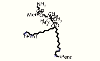 CCCCC/C=C\C/C=C\CCCCCCCCC1(CCCCCCCC/C=C\C/C=C\CCCCC)OC[C@H](C(C)(C)C(C)(C)N(C)CCOP(=O)(OC)OCCN)O1